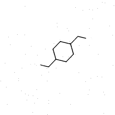 CC(=O)NCC1CCC(COC(C)=O)CC1